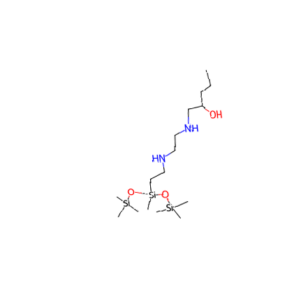 CCCC(O)CNCCNCC[Si](C)(O[Si](C)(C)C)O[Si](C)(C)C